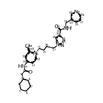 O=C(CC1CCCCC1)Nc1ccn(CCCCn2cc(C(=O)NCc3cccnc3)nn2)c(=O)c1